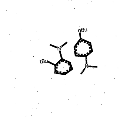 CCCCc1ccc(N(C)C)cc1.CN(C)c1ccccc1C(C)(C)C